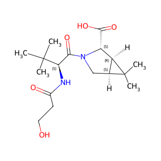 CC(C)(C)[C@H](NC(=O)CCO)C(=O)N1C[C@H]2[C@@H]([C@H]1C(=O)O)C2(C)C